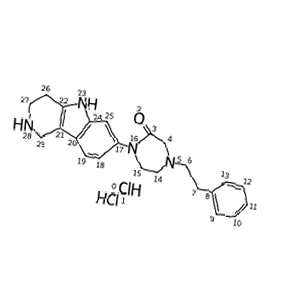 Cl.Cl.O=C1CN(CCc2ccccc2)CCN1c1ccc2c3c([nH]c2c1)CCNC3